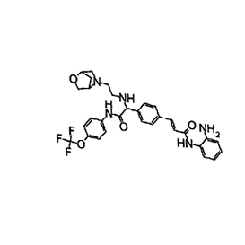 Nc1ccccc1NC(=O)C=Cc1ccc(C(NCCN2CC3CC2CO3)C(=O)Nc2ccc(OC(F)(F)F)cc2)cc1